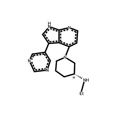 CCN[C@@H]1CCCN(c2ccnc3[nH]cc(-c4cncnc4)c23)C1